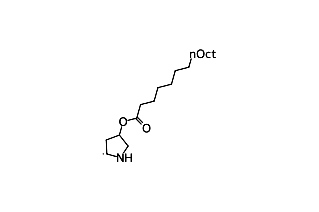 CCCCCCCCCCCCCCC(=O)OC1C[CH]NC1